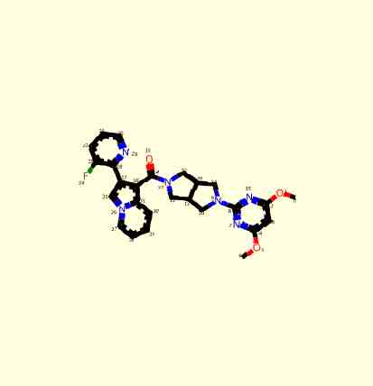 COc1cc(OC)nc(N2CC3CN(C(=O)c4c(-c5ncccc5F)cn5ccccc45)CC3C2)n1